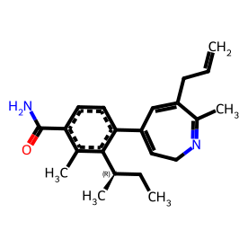 C=CCC1=CC(c2ccc(C(N)=O)c(C)c2[C@H](C)CC)=CCN=C1C